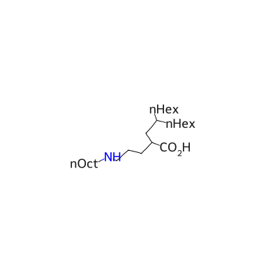 CCCCCCCCNCCCC(CC(CCCCCC)CCCCCC)C(=O)O